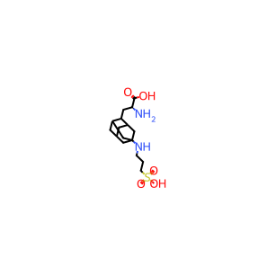 N[C@@H](CC1C2CC3CC1CC(NCCCS(=O)(=O)O)(C3)C2)C(=O)O